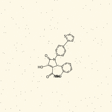 COc1ccccc1C1C(C(=O)C(C)(C)C)=C(O)C(=O)N1c1ccc(-c2cccs2)cc1